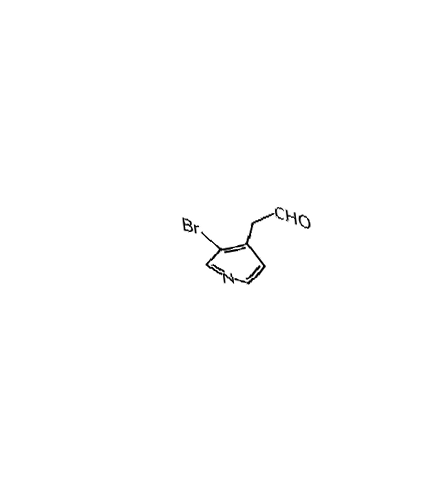 O=CCc1ccncc1Br